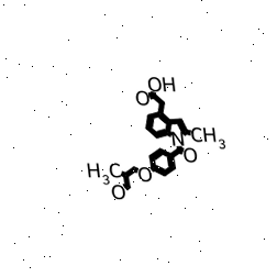 Cc1cc2c(CC(=O)O)cccc2n1C(=O)c1ccc(OCC(C)C=O)cc1